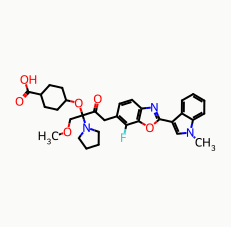 COCC(OC1CCC(C(=O)O)CC1)(C(=O)Cc1ccc2nc(-c3cn(C)c4ccccc34)oc2c1F)N1CCCC1